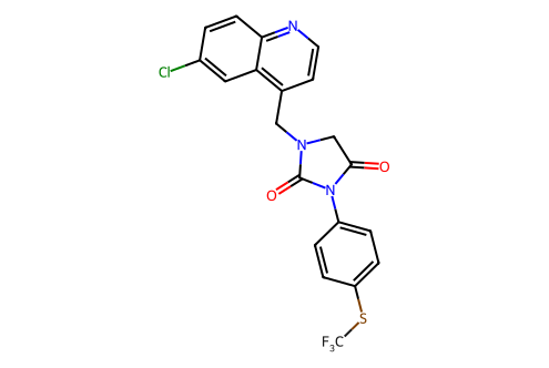 O=C1CN(Cc2ccnc3ccc(Cl)cc23)C(=O)N1c1ccc(SC(F)(F)F)cc1